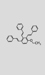 CCOc1ccc(/C=C/c2ccccc2)c(/C=C/c2ccccc2)c1/C=C/c1ccccc1